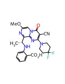 COc1cn2c(=O)c(C#N)c(N3CCC(F)(F)CC3)nc2c([C@@H](C)Nc2ccccc2C(=O)O)n1